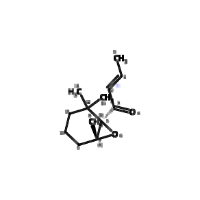 C/C=C/C(=O)[C@]12O[C@]1(C)CCCC2(C)C